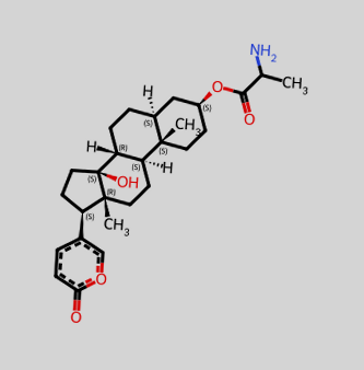 CC(N)C(=O)O[C@H]1CC[C@@]2(C)[C@@H](CC[C@@H]3[C@@H]2CC[C@]2(C)[C@@H](c4ccc(=O)oc4)CC[C@]32O)C1